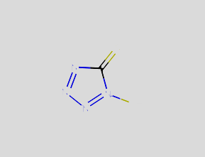 S=C1N=NN=[N+]1S